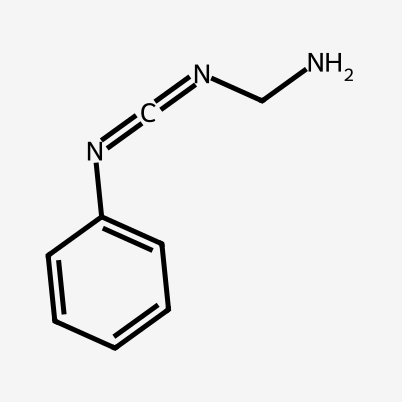 NCN=C=Nc1ccccc1